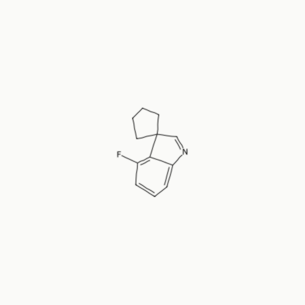 Fc1cccc2c1C1(C=N2)CCCC1